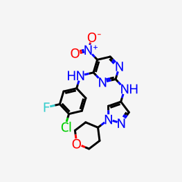 O=[N+]([O-])c1cnc(Nc2cnn(C3CCOCC3)c2)nc1Nc1ccc(Cl)c(F)c1